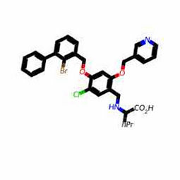 CCCC(NCc1cc(Cl)c(OCc2cccc(-c3ccccc3)c2Br)cc1OCc1cccnc1)C(=O)O